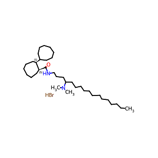 Br.CCCCCCCCCCCCCC(CCCNC(=O)[C@H]1CCCCCC[C@H]1C1CCCCCCC1)N(C)C